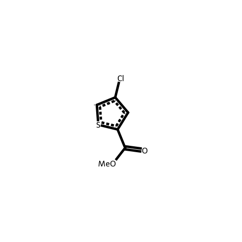 COC(=O)c1cc(Cl)[c]s1